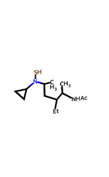 CCC(CC(C)N(S)C1CC1)C(C)NC(C)=O